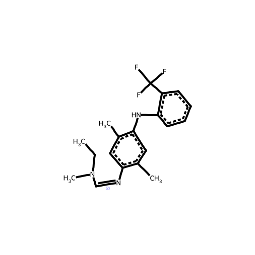 CCN(C)/C=N\c1cc(C)c(Nc2ccccc2C(F)(F)F)cc1C